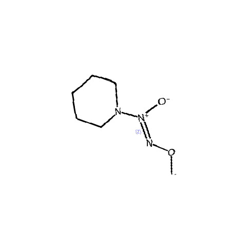 [CH2]O/N=[N+](\[O-])N1CCCCC1